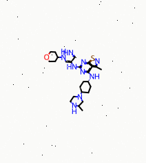 Cc1nsc2nc(N/C(C=N)=C/NC3CCOCC3)nc(N[C@H]3CC[C@H](N4CCNC(C)C4)CC3)c12